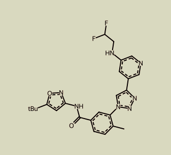 Cc1ccc(C(=O)Nc2cc(C(C)(C)C)on2)cc1-n1cc(-c2cncc(NCC(F)F)c2)nn1